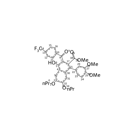 CCCOc1cc2c(O)c(C(=O)c3ccc(C(F)(F)F)cc3)c(C(=O)OC)c(-c3ccc(OC)c(OC)c3)c2cc1OCCC